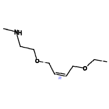 CCOC/C=C\COCCNC